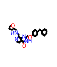 O=c1[nH]c(COc2ccc(Cc3ccccc3)cc2)nc2c(CNCC3CCCO3)nccc12